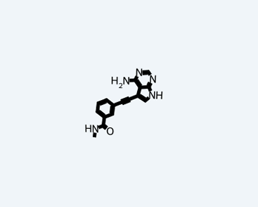 CNC(=O)c1cccc(C#Cc2c[nH]c3ncnc(N)c23)c1